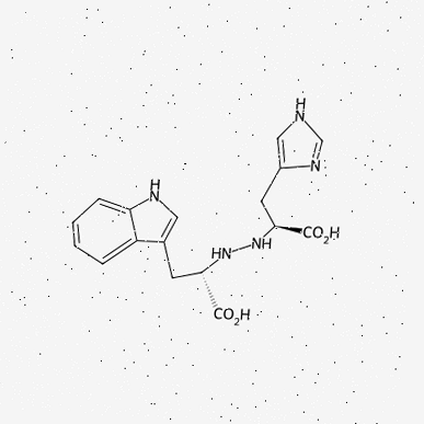 O=C(O)[C@H](Cc1c[nH]cn1)NN[C@@H](Cc1c[nH]c2ccccc12)C(=O)O